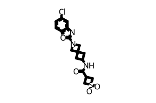 O=C(NC1CC2(C1)CN(c1nc3cc(Cl)ccc3o1)C2)C1CS(=O)(=O)C1